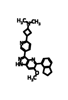 COc1cc2[nH]nc(-c3ccc(C4CC(N(C)C)C4)nc3)c2nc1-c1cccc2c1CCC2